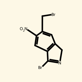 O=[N+]([O-])c1cc2c(cc1CBr)CN=C2Br